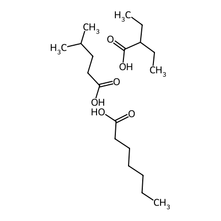 CC(C)CCC(=O)O.CCC(CC)C(=O)O.CCCCCCC(=O)O